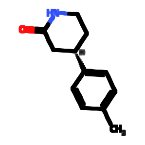 Cc1ccc([C@H]2CCNC(=O)C2)cc1